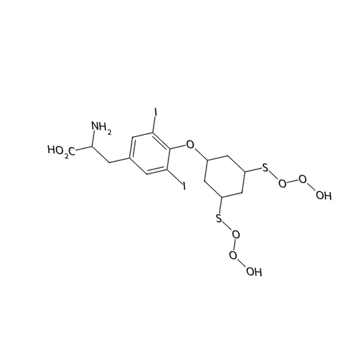 NC(Cc1cc(I)c(OC2CC(SOOO)CC(SOOO)C2)c(I)c1)C(=O)O